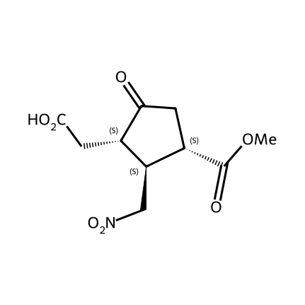 COC(=O)[C@H]1CC(=O)[C@@H](CC(=O)O)[C@@H]1C[N+](=O)[O-]